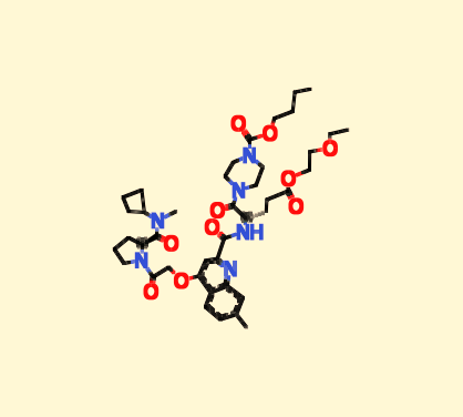 CCCCOC(=O)N1CCN(C(=O)[C@H](CCC(=O)OCCOCC)NC(=O)c2cc(OCC(=O)N3CCC[C@H]3C(=O)N(C)C3CCC3)c3ccc(C)cc3n2)CC1